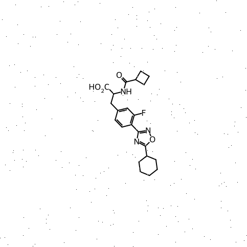 O=C(NC(Cc1ccc(-c2noc(C3CCCCC3)n2)c(F)c1)C(=O)O)C1CCC1